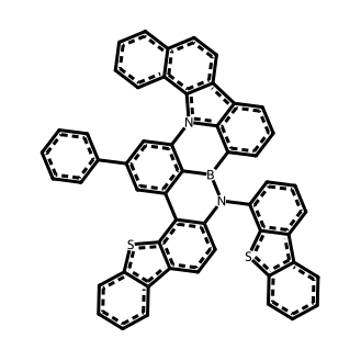 c1ccc(-c2cc3c4c(c2)-n2c5c(cccc5c5ccc6ccccc6c52)B4N(c2cccc4c2sc2ccccc24)c2ccc4c(sc5ccccc54)c2-3)cc1